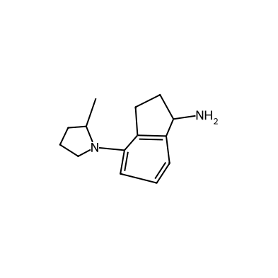 CC1CCCN1c1cccc2c1CCC2N